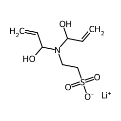 C=CC(O)N(CCS(=O)(=O)[O-])C(O)C=C.[Li+]